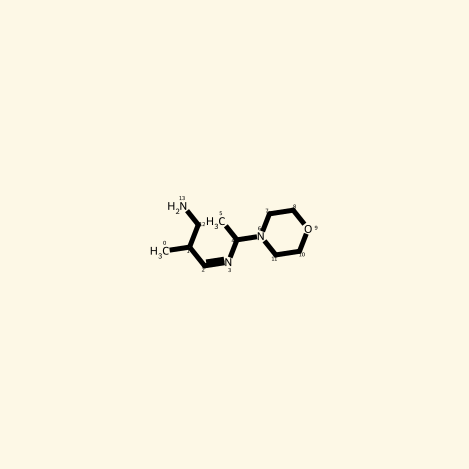 CC(/C=N\C(C)N1CCOCC1)CN